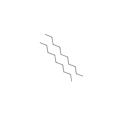 CCCCCCCCC.CCCCCCCCCC